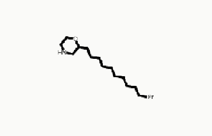 CC(C)CCCCCCCCCCC1CNCCO1